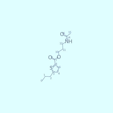 CCCc1ccc(C(=O)OCCCNC(C)=O)s1